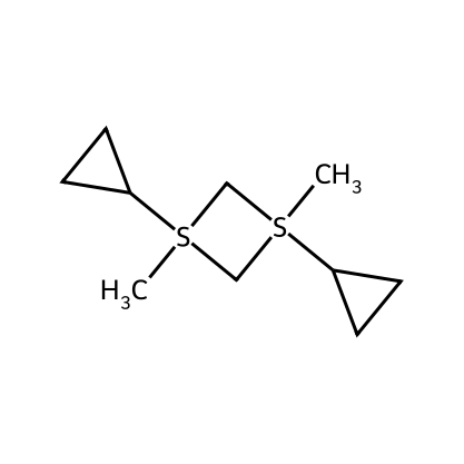 CS1(C2CC2)CS(C)(C2CC2)C1